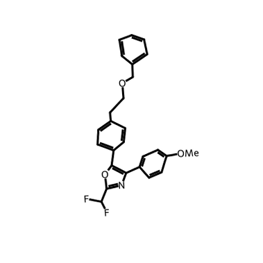 COc1ccc(-c2nc(C(F)F)oc2-c2ccc(CCOCc3ccccc3)cc2)cc1